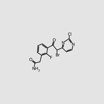 NC(=O)Cc1cccc(C(=O)C(Br)c2ccnc(Cl)n2)c1F